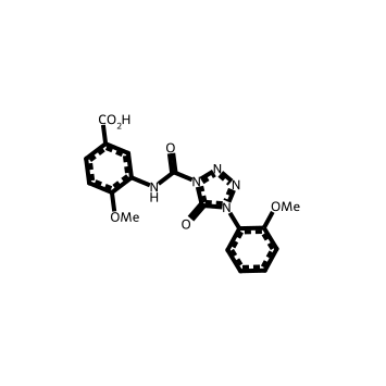 COc1ccc(C(=O)O)cc1NC(=O)n1nnn(-c2ccccc2OC)c1=O